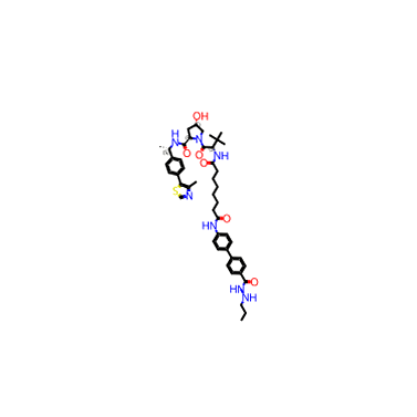 CCCNNC(=O)c1ccc(-c2ccc(NC(=O)CCCCCCC(=O)N[C@H](C(=O)N3C[C@@H](O)C[C@@H]3C(=O)N[C@@H](C)c3ccc(-c4scnc4C)cc3)C(C)(C)C)cc2)cc1